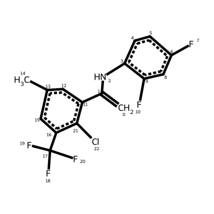 C=C(Nc1ccc(F)cc1F)c1cc(C)cc(C(F)(F)F)c1Cl